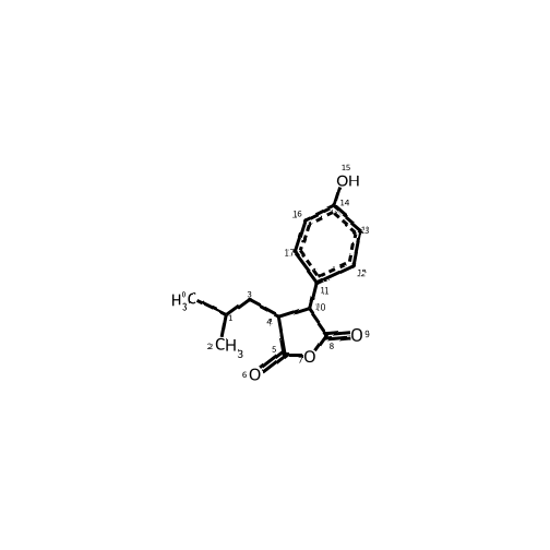 CC(C)CC1C(=O)OC(=O)C1c1ccc(O)cc1